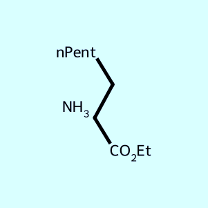 CCCCCCCC(=O)OCC.N